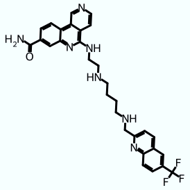 NC(=O)c1ccc2c(c1)nc(NCCNCCCCNCc1ccc3cc(C(F)(F)F)ccc3n1)c1ccncc12